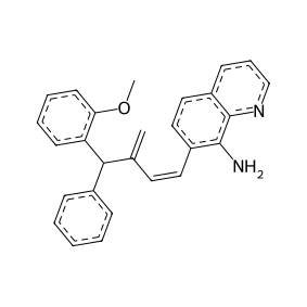 C=C(/C=C\c1ccc2cccnc2c1N)C(c1ccccc1)c1ccccc1OC